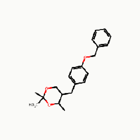 CC1OC(C)(C(=O)O)OCC1Cc1ccc(OCc2ccccc2)cc1